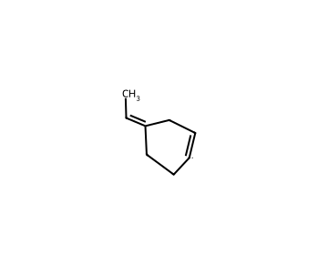 CC=C1CC=[C]CC1